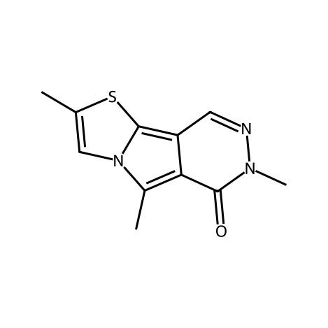 Cc1cn2c(C)c3c(=O)n(C)ncc3c2s1